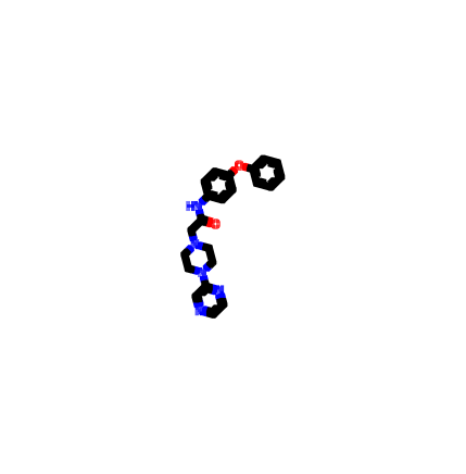 O=C(CN1CCN(c2cnccn2)CC1)Nc1ccc(Oc2ccccc2)cc1